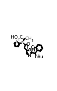 CCCCC(c1ncc(CC(=O)N(c2cccs2)[C@@H](C)C(=O)O)[nH]1)c1ccccc1C(F)(F)F